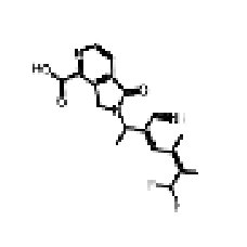 CC(/C=C(\C=N)C(C)N1Cc2c(ccnc2C(=O)O)C1=O)=C(\C)C(F)F